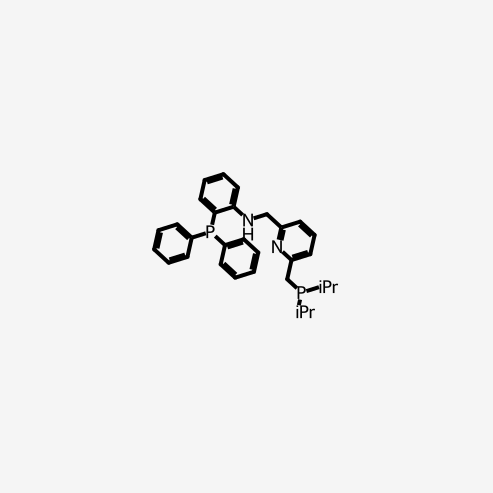 CC(C)P(Cc1cccc(CNc2ccccc2P(c2ccccc2)c2ccccc2)n1)C(C)C